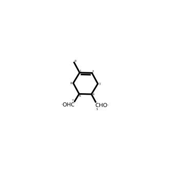 CC1=CCC([C]=O)C([C]=O)C1